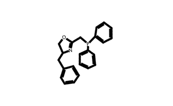 c1ccc(CC2COC(CP(c3ccccc3)c3ccccc3)=N2)cc1